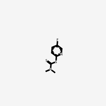 CN(C)C(=S)Sc1ccc(F)cn1